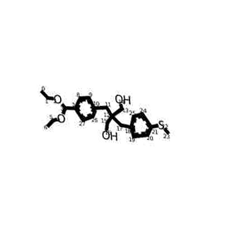 CCOC(OCC)c1ccc(CC(CO)(CO)Cc2ccc(SC)cc2)cc1